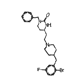 O=C1NC(CCN2CCC(Cc3cc(F)ccc3Br)CC2)CCN1Cc1ccccc1